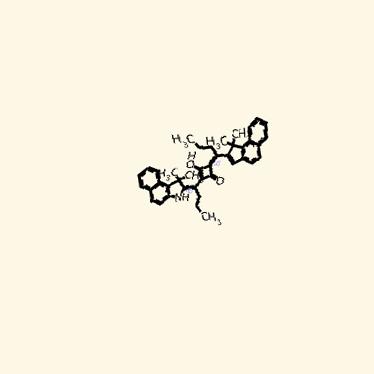 CCC/C(C1=Cc2ccc3ccccc3c2C1(C)C)=C1/C(=O)C(C(/CCC)=C2/Nc3ccc4ccccc4c3C2(C)C)=C1O